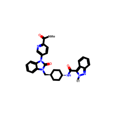 CCn1nc2ccccc2c1C(=O)N[C@H]1CC[C@H](Cn2c(=O)n(-c3ccc(C(=O)NC)nc3)c3ccccc32)CC1